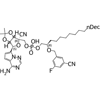 CCCCCCCCCCCCCCCCCC[C@H](COP(=O)(O)OC[C@@]1(C#N)O[C@@H](c2ccc3c(N)ncnn23)[C@@H]2OC(C)(C)O[C@@H]21)OCc1cc(F)cc(C#N)c1